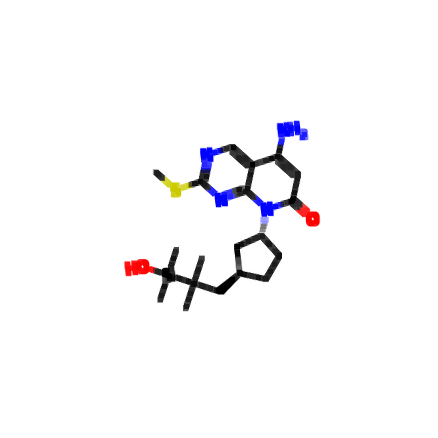 CSc1ncc2c(N)cc(=O)n([C@@H]3CC[C@@H](CC(C)(C)[Si](C)(C)O)C3)c2n1